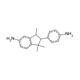 CC1c2cc(N)ccc2C(C)(C)C1c1ccc(N)cc1